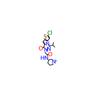 CC(C)c1nn(CC(=O)N[C@H]2CCCN(C)C2)c(=O)c2cc3sc(Cl)cc3n12